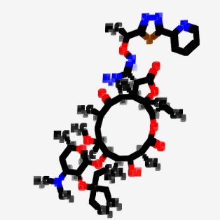 CC[C@@H]1OC(=O)[C@H](C)C(O)[C@H](C)[C@@H](O[C@@H]2O[C@@H](C)C[C@H](N(C)C)[C@H]2O[Si](CC)(CC)CC)[C@](C)(OC)C[C@@H](C)C(=O)[C@H](C)[C@H]2[C@H](/C(N)=N/O[C@@H](C)c3nnc(-c4ccccn4)s3)C(=O)O[C@@]21C